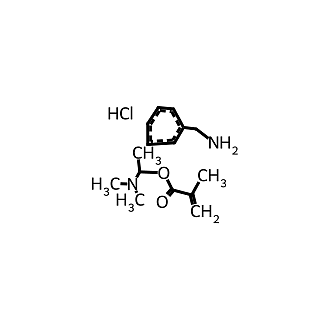 C=C(C)C(=O)OC(C)N(C)C.Cl.NCc1ccccc1